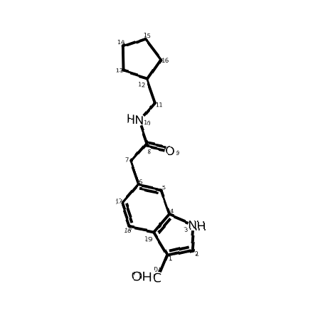 O=Cc1c[nH]c2cc(CC(=O)NCC3CCCC3)ccc12